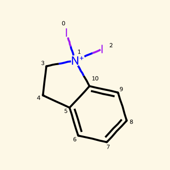 I[N+]1(I)CCc2ccccc21